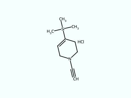 C#CN1CC=C([Si](C)(C)C)CC1.Cl